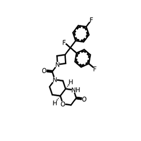 O=C1CO[C@H]2CCN(C(=O)N3CC(C(F)(c4ccc(F)cc4)c4ccc(F)cc4)C3)C[C@H]2N1